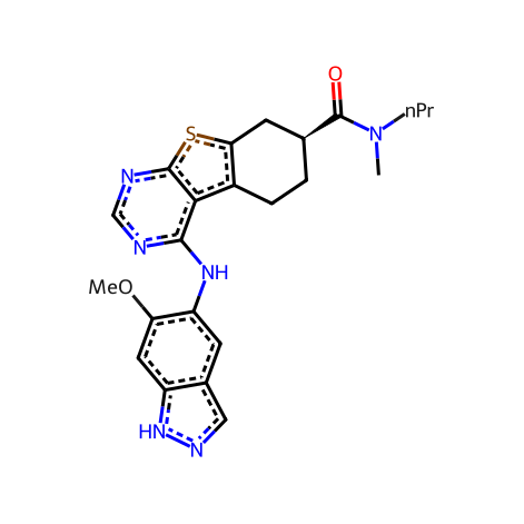 CCCN(C)C(=O)[C@H]1CCc2c(sc3ncnc(Nc4cc5cn[nH]c5cc4OC)c23)C1